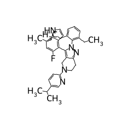 CCc1cccc(CC)c1-n1nc2c(c1-c1c(F)cc(C)c3[nH]ccc13)CN(c1ccc(C(C)C)cn1)CC2